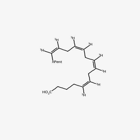 [3H]/C(CCCCC)=C(\[3H])C/C([3H])=C(/[3H])C/C([3H])=C(/[3H])C/C([3H])=C(/[3H])CCCC(=O)O